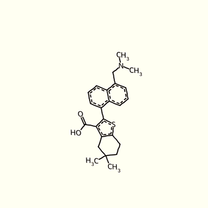 CN(C)Cc1cccc2c(-c3sc4c(c3C(=O)O)CC(C)(C)CC4)cccc12